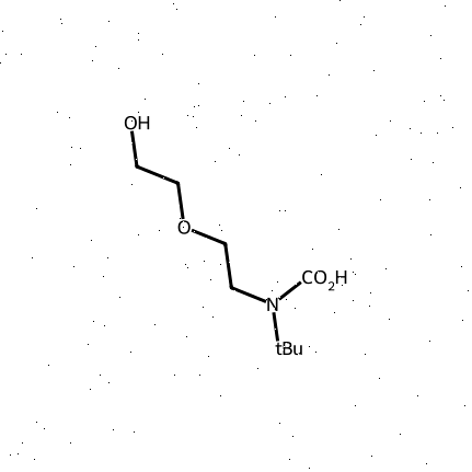 CC(C)(C)N(CCOCCO)C(=O)O